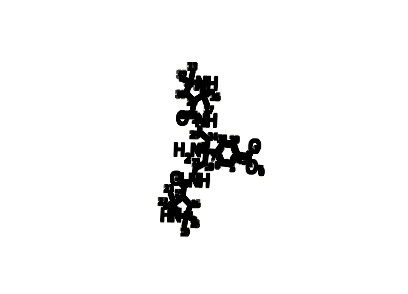 COC(=O)c1ccc(C(N)(CCNC(=O)C2CC(C)(C)NC2(C)C)CCNC(=O)C2CC(C)(C)NC2(C)C)cc1